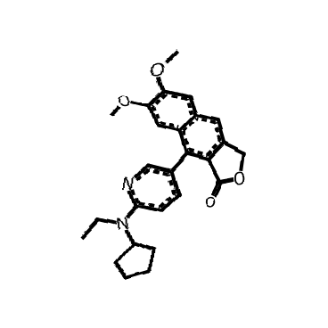 CCN(c1ccc(-c2c3c(cc4cc(OC)c(OC)cc24)COC3=O)cn1)C1CCCC1